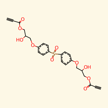 C#CC(=O)OCC(O)COc1ccc(S(=O)(=O)c2ccc(OCC(O)COC(=O)C#C)cc2)cc1